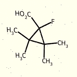 CC1(C)C(C)(C)C1(F)C(=O)O